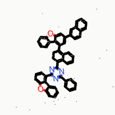 c1ccc(-c2nc(C3=c4ccccc4=C(c4cc(-c5ccc6ccccc6c5)cc5oc6ccccc6c45)CC3)nc(-c3cccc4oc5ccccc5c34)n2)cc1